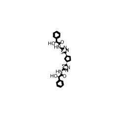 O=C(Nc1nnc([C@H]2CC[C@H](c3nnc(NC(=O)[C@@H](O)c4ccccc4)s3)C2)s1)[C@@H](O)c1ccccc1